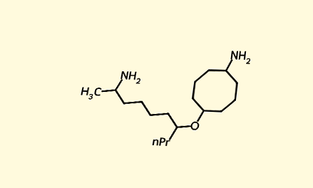 CCCC(CCCCC(C)N)OC1CCCC(N)CCC1